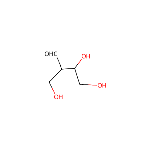 O=CC(CO)C(O)CO